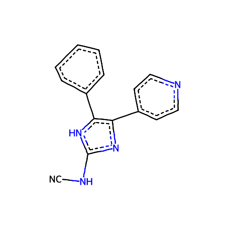 N#CNc1nc(-c2ccncc2)c(-c2ccccc2)[nH]1